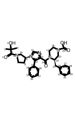 CC(C)(O)C(=O)N1CC[C@H](n2cnc(C(=O)N3CCN(C(=O)O)C[C@H]3Cc3ccccc3)c2-c2ccccc2)C1